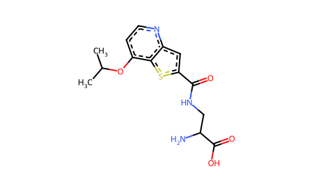 CC(C)Oc1ccnc2cc(C(=O)NCC(N)C(=O)O)sc12